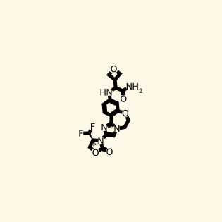 NC(=O)C(Nc1ccc2c(c1)OCCn1cc(N3C(=O)OC[C@H]3C(F)F)nc1-2)C1COC1